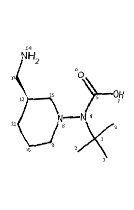 CC(C)(C)N(C(=O)O)N1CCC[C@@H](CN)C1